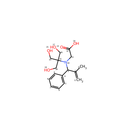 C=C(C)C(c1ccccc1)N(CC(=O)O)C(CO)(CO)CO